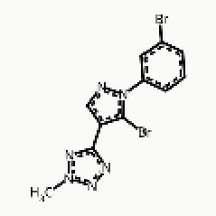 Cn1nnc(-c2cnn(-c3cccc(Br)c3)c2Br)n1